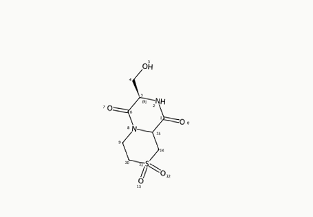 O=C1N[C@H](CO)C(=O)N2CCS(=O)(=O)CC12